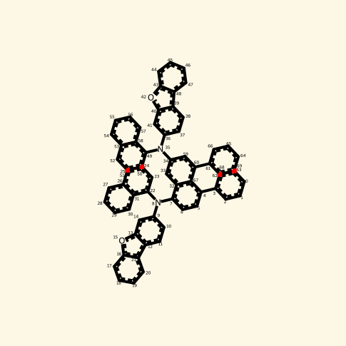 c1ccc(-c2ccc(N(c3ccc4c(c3)oc3ccccc34)c3cccc4ccccc34)c3cc(N(c4ccc5c(c4)oc4ccccc45)c4cccc5ccccc45)cc(-c4ccccc4)c23)cc1